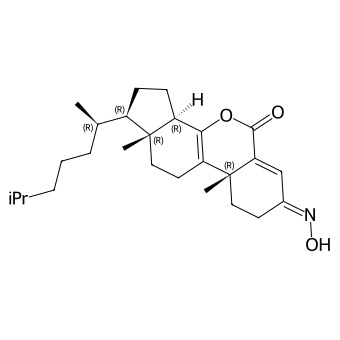 CC(C)CCC[C@@H](C)[C@H]1CC[C@H]2C3=C(CC[C@]12C)[C@@]1(C)CCC(=NO)C=C1C(=O)O3